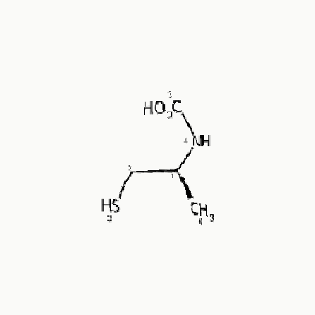 C[C@@H](CS)NC(=O)O